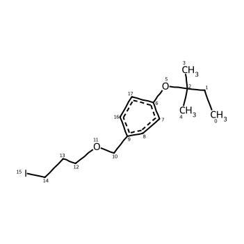 CCC(C)(C)Oc1ccc(COCCCI)cc1